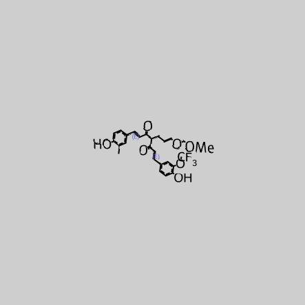 COCOCCCC(C(=O)/C=C/c1ccc(O)c(C)c1)C(=O)/C=C/c1ccc(O)c(OC(F)(F)F)c1